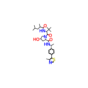 Cc1ncsc1-c1ccc(C(C)NC(=O)C2CC(O)CN2C(=O)C(NC(=O)C(C)CC(C)C)C(C)(C)C)cc1